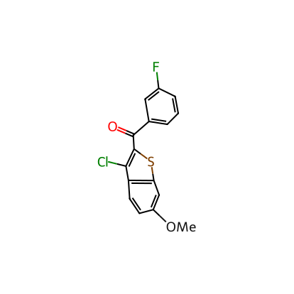 COc1ccc2c(Cl)c(C(=O)c3cccc(F)c3)sc2c1